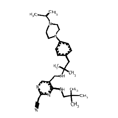 CC(C)N1CCN(c2ccc(CC(C)(C)NCc3cnc(C#N)nc3NCC(C)(C)C)cc2)CC1